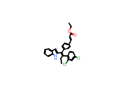 CCOC(=O)/C=C/c1ccc(/C(=C(/CC)c2ccc(Cl)cc2Cl)c2cc3ccccc3[nH]2)cc1